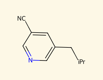 CC(C)Cc1cncc(C#N)c1